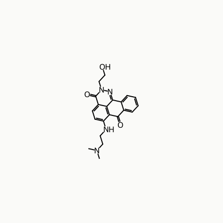 CN(C)CCNc1ccc2c(=O)n(CCO)nc3c2c1C(=O)c1ccccc1-3